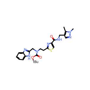 Cc1c(CNC(=O)c2csc(CCN(Cc3nc4ccccc4[nH]3)C(=O)OC(C)(C)C)n2)cnn1C